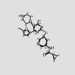 Cc1ccc(-c2nc(Sc3cncc(NC(=O)C4CC4)c3)nc(C)c2N2CCNCC2)o1